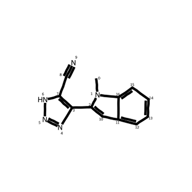 Cn1c(-c2nn[nH]c2C#N)cc2ccccc21